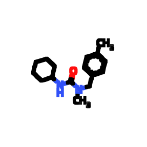 Cc1ccc(CN(C)C(=O)NC2CCCCC2)cc1